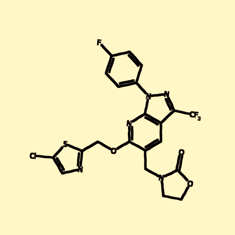 O=C1OCCN1Cc1cc2c(C(F)(F)F)nn(-c3ccc(F)cc3)c2nc1OCc1ncc(Cl)s1